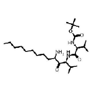 CCCCCCCCCC(N)C(=O)[C@@H](NC(=O)[C@@H](NC(=O)OC(C)(C)C)C(C)C)C(C)C